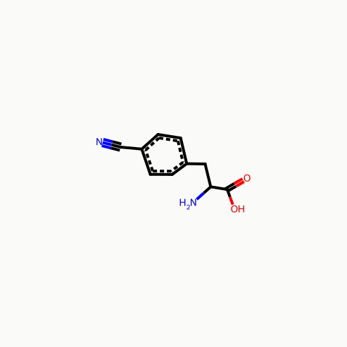 N#Cc1ccc(CC(N)C(=O)O)cc1